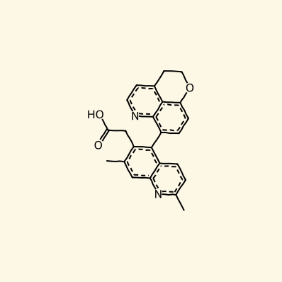 Cc1ccc2c(-c3ccc4c5c(ccnc35)CCO4)c(CC(=O)O)c(C)cc2n1